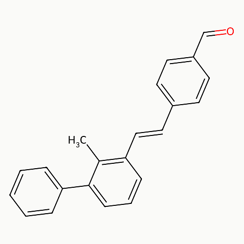 Cc1c(/C=C/c2ccc(C=O)cc2)cccc1-c1ccccc1